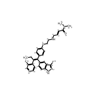 CCC(=C(c1ccc(OCCNCC=CC(=O)N(C)C)cc1)c1ccc2[nH]nc(F)c2c1)c1ccncc1F